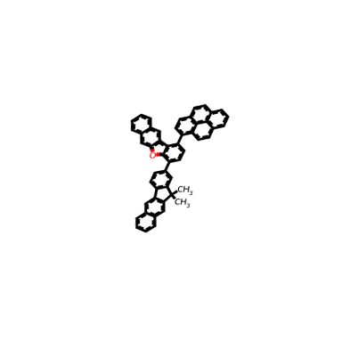 CC1(C)c2cc(-c3ccc(-c4ccc5ccc6cccc7ccc4c5c67)c4c3oc3cc5ccccc5cc34)ccc2-c2cc3ccccc3cc21